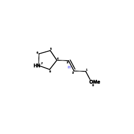 COC/C=C/C1CCNC1